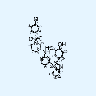 O=S(=O)(c1ccc(Cl)cc1)N1CCC[C@@H](Nc2nccc(-c3c(-c4ccc(O)c(O)c4)nc4sccn34)n2)C1